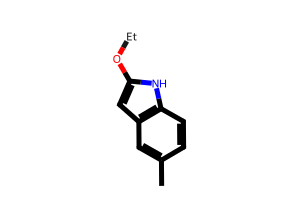 CCOc1cc2cc(C)ccc2[nH]1